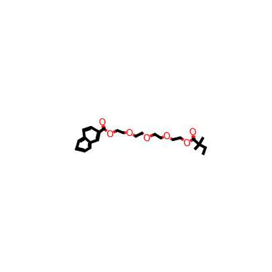 CCC(C)(C)C(=O)OCCOCCOCCOCCOC(=O)c1ccc2ccccc2c1